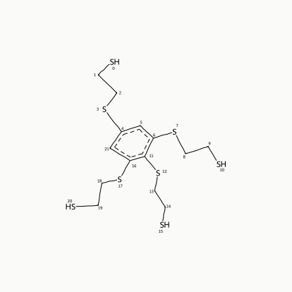 SCCSc1cc(SCCS)c(SCCS)c(SCCS)c1